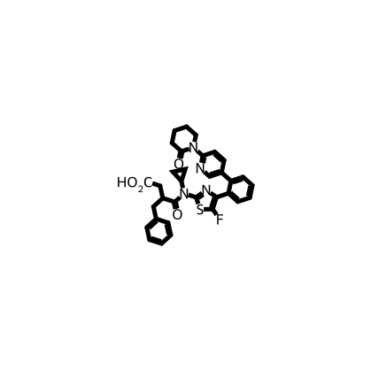 O=C(O)CC(Cc1ccccc1)C(=O)N(c1nc(-c2ccccc2-c2ccc(N3CCCCC3=O)nc2)c(F)s1)C1CC1